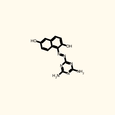 Nc1nc(N)nc(/N=N/c2c(O)ccc3cc(O)ccc23)n1